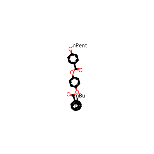 CCCCCOc1ccc(C(=O)Oc2ccc(OC(=O)[C]34[CH]5[CH]6[CH]7[CH]3[Fe]6754389%10[CH]4[CH]3[CH]8[C]9(CCCC)[CH]4%10)cc2)cc1